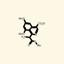 CCOC(=O)c1cnc(C(N)C(=O)OC(C)(C)C)c2c(OC)cc(OC)cc12